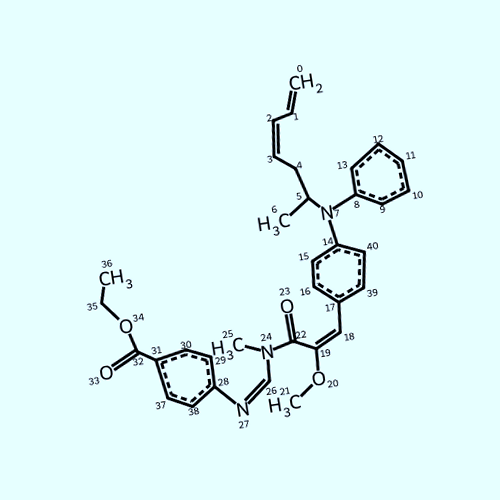 C=C/C=C\CC(C)N(c1ccccc1)c1ccc(/C=C(/OC)C(=O)N(C)/C=N\c2ccc(C(=O)OCC)cc2)cc1